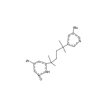 CC(C)c1cc(C(C)(C)CCC(C)(C)c2cncc(C(C)(C)C)c2)[nH]c(=O)c1